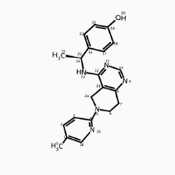 Cc1ccc(N2CCc3ncnc(N[C@@H](C)c4ccc(O)cc4)c3C2)nc1